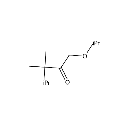 CC(C)OCC(=O)C(C)(C)C(C)C